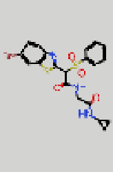 O=C(CNC(=O)C(c1nc2ccc(Br)cc2s1)S(=O)(=O)c1ccccc1)NC1CC1